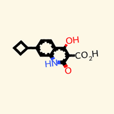 O=C(O)c1c(O)c2ccc(C3CCC3)cc2[nH]c1=O